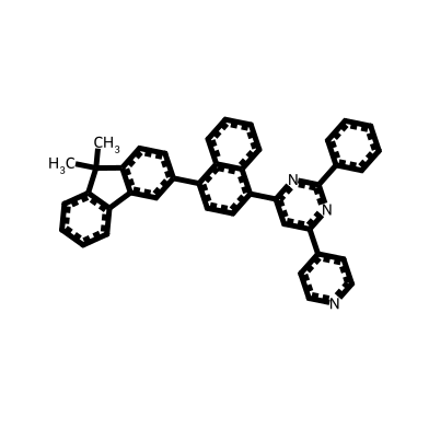 CC1(C)c2ccccc2-c2cc(-c3ccc(-c4cc(-c5ccncc5)nc(-c5ccccc5)n4)c4ccccc34)ccc21